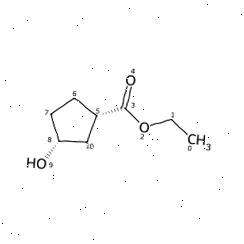 CCOC(=O)[C@H]1CC[C@@H](O)C1